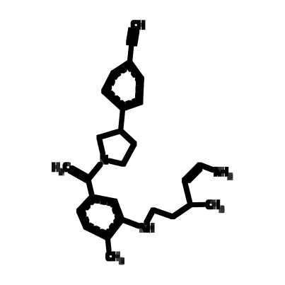 C#Cc1ccc(C2CCN(C(=C)c3ccc(C)c(NCCC(C)/C=C\N)c3)C2)cc1